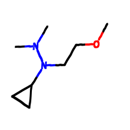 COCCN(C1CC1)N(C)C